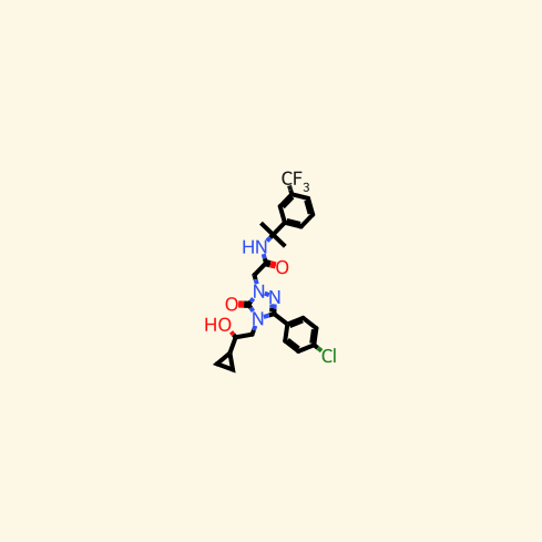 CC(C)(NC(=O)Cn1nc(-c2ccc(Cl)cc2)n(CC(O)C2CC2)c1=O)c1cccc(C(F)(F)F)c1